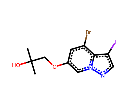 CC(C)(O)COc1cc(Br)c2c(I)cnn2c1